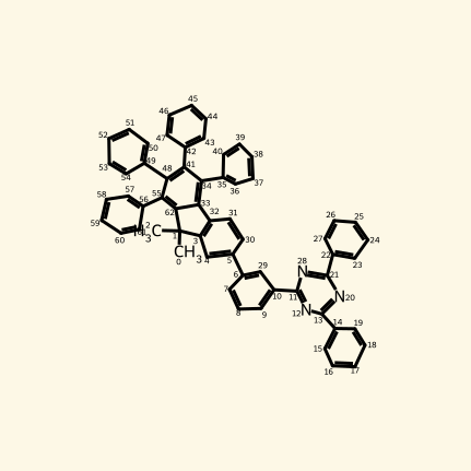 CC1(C)c2cc(-c3cccc(-c4nc(-c5ccccc5)nc(-c5ccccc5)n4)c3)ccc2-c2c(-c3ccccc3)c(-c3ccccc3)c(-c3ccccc3)c(-c3ccccc3)c21